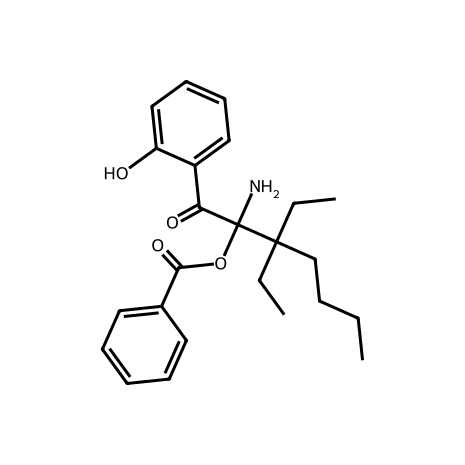 CCCCC(CC)(CC)C(N)(OC(=O)c1ccccc1)C(=O)c1ccccc1O